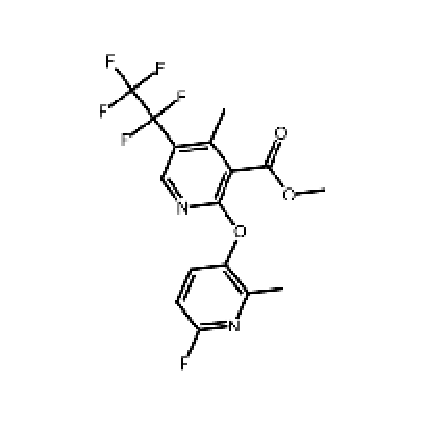 COC(=O)c1c(Oc2ccc(F)nc2C)ncc(C(F)(F)C(F)(F)F)c1C